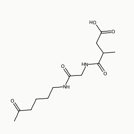 CC(=O)CCCCNC(=O)CNC(=O)C(C)CC(=O)O